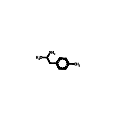 Cc1ccc(CC(C)N)cc1